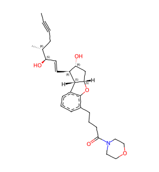 CC#CC[C@@H](C)[C@H](O)C=C[C@@H]1[C@H]2c3cccc(CCCC(=O)N4CCOCC4)c3O[C@H]2C[C@H]1O